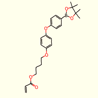 C=CC(=O)OCCCCOc1ccc(Oc2ccc(B3OC(C)(C)C(C)(C)O3)cc2)cc1